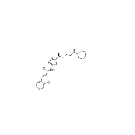 O=C(C=Cc1ccccc1Cl)Nc1nnc(NCCCNC2CCCCC2)s1